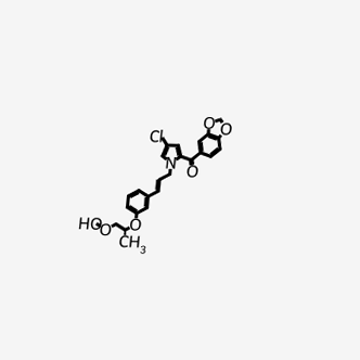 C[C@@H](COO)Oc1cccc(/C=C/Cn2cc(Cl)cc2C(=O)c2ccc3c(c2)OCO3)c1